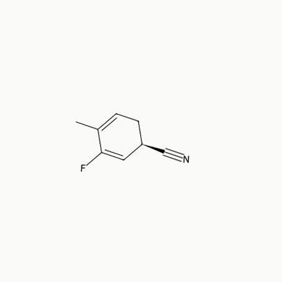 CC1=CC[C@@H](C#N)C=C1F